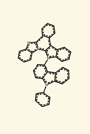 c1ccc(-n2c3ccccc3c3c(-n4c5ccccc5c5c6ccccc6c6nc7ccccc7n6c54)cccc32)cc1